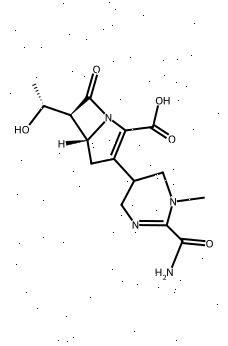 C[C@@H](O)[C@H]1C(=O)N2C(C(=O)O)=C(C3CN=C(C(N)=O)N(C)C3)C[C@H]12